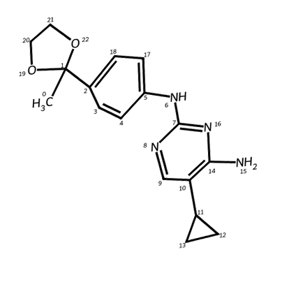 CC1(c2ccc(Nc3ncc(C4CC4)c(N)n3)cc2)OCCO1